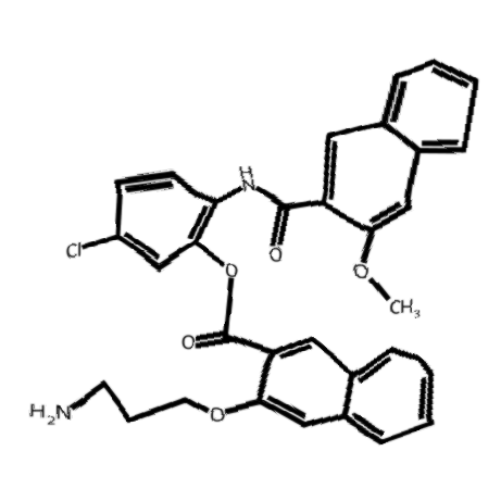 COc1cc2ccccc2cc1C(=O)Nc1ccc(Cl)cc1OC(=O)c1cc2ccccc2cc1OCCCN